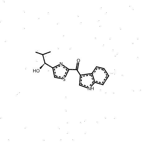 CC(C)[C@H](O)c1csc(C(=O)c2c[nH]c3ccccc23)n1